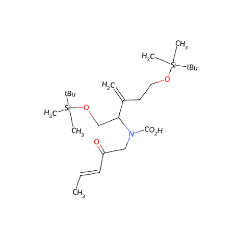 C=C(CCO[Si](C)(C)C(C)(C)C)C(CO[Si](C)(C)C(C)(C)C)N(CC(=O)/C=C/C)C(=O)O